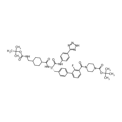 CC(C)(C)OC(=O)NCC1CCC(C(=O)N[C@@H](Cc2ccc(-c3cccc(C(=O)N4CCN(C(=O)OC(C)(C)C)CC4)c3F)cc2)C(=O)Nc2ccc(-c3nn[nH]n3)cc2)CC1